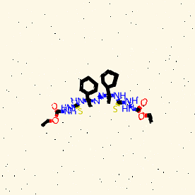 CCOC(=O)NNC(=S)NC(C)(N=NC(C)(NC(=S)NNC(=O)OCC)C1CCCCC1)C1CCCCC1